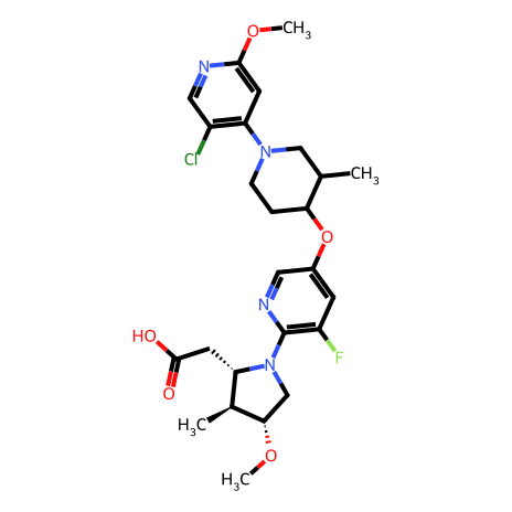 COc1cc(N2CCC(Oc3cnc(N4C[C@H](OC)[C@@H](C)[C@@H]4CC(=O)O)c(F)c3)C(C)C2)c(Cl)cn1